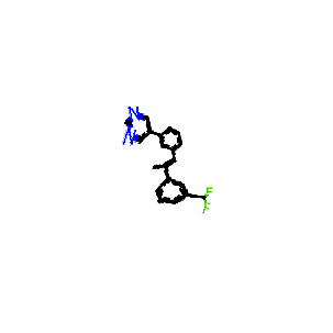 C/C(=C\c1cccc(-c2cncnc2)c1)c1cccc(C(F)F)c1